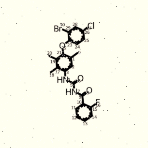 Cc1cc(NC(=O)NC(=O)c2ccccc2F)c(C)c(C)c1Oc1ccc(Cl)cc1Br